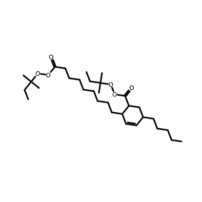 CCCCCC1C=CC(CCCCCCCCC(=O)OOC(C)(C)CC)C(C(=O)OOC(C)(C)CC)C1